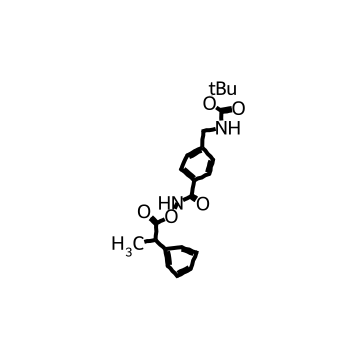 CC(C(=O)ONC(=O)c1ccc(CNC(=O)OC(C)(C)C)cc1)c1ccccc1